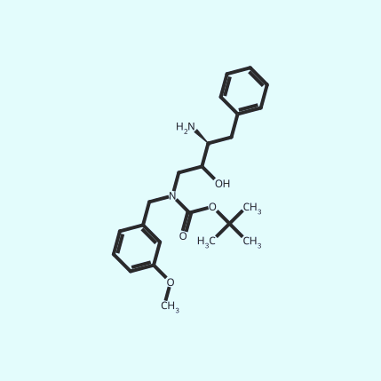 COc1cccc(CN(CC(O)[C@@H](N)Cc2ccccc2)C(=O)OC(C)(C)C)c1